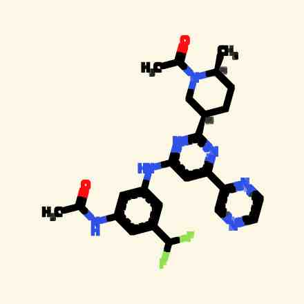 CC(=O)Nc1cc(Nc2cc(-c3cnccn3)nc([C@@H]3CC[C@H](C)N(C(C)=O)C3)n2)cc(C(F)F)c1